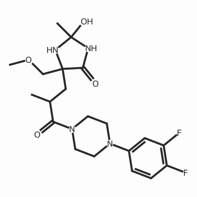 COCC1(CC(C)C(=O)N2CCN(c3ccc(F)c(F)c3)CC2)NC(C)(O)NC1=O